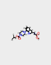 COC(=O)/C=C/c1cnc2c(N3CCN(C(=O)OCC(C)C)CC3)cccc2c1